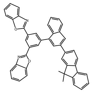 CC1(C)c2ccccc2-c2ccc(-c3cc(-c4cc(-c5nc6ccccc6o5)cc(-c5nc6ccccc6o5)c4)c4ccccc4c3)cc21